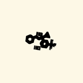 Cl.OC(CCN1CCCCC1)(c1cccc(C(F)(F)F)c1)C1CC1